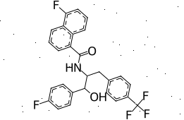 O=C(NC(Cc1ccc(C(F)(F)F)cc1)C(O)c1ccc(F)cc1)c1cccc2c(F)cccc12